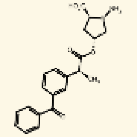 C[C@H](C(=O)O[C@@H]1C[C@@H](C(=O)O)N(N)C1)c1cccc(C(=O)c2ccccc2)c1